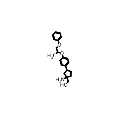 CC(COc1ccccc1)Oc1ccc(C2CCC(N)(CO)C2)cc1